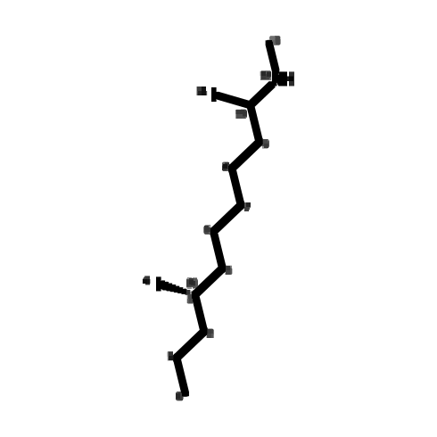 CCC[C@H](I)CCCCCC(I)NC